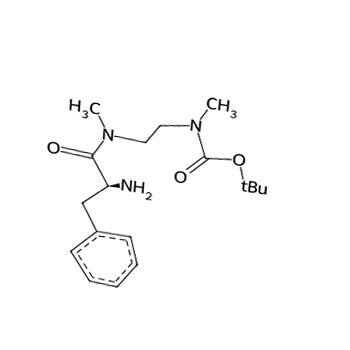 CN(CCN(C)C(=O)[C@@H](N)Cc1ccccc1)C(=O)OC(C)(C)C